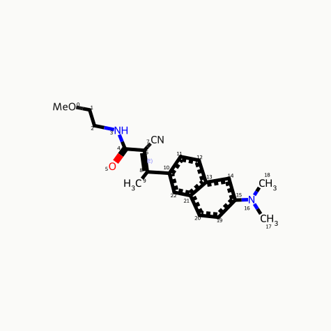 COCCNC(=O)/C(C#N)=C(\C)c1ccc2cc(N(C)C)ccc2c1